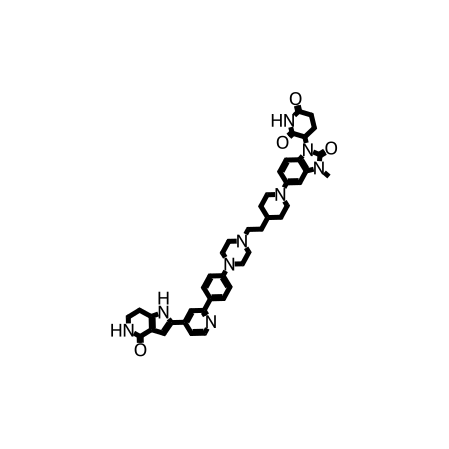 Cn1c(=O)n(C2CCC(=O)NC2=O)c2ccc(N3CCC(CCN4CCN(c5ccc(-c6cc(-c7cc8c([nH]7)CCNC8=O)ccn6)cc5)CC4)CC3)cc21